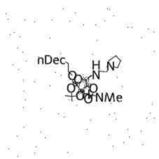 CCCCCCCCCCCCOC[C@@]12O[C@@H](CNCCN3CCCC3)[C@@H](OC(=O)NC)[C@@H]1OC(C)(C)O2